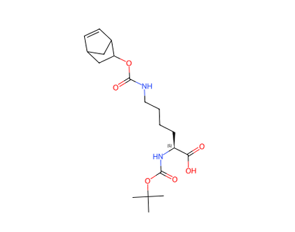 CC(C)(C)OC(=O)N[C@@H](CCCCNC(=O)OC1CC2C=CC1C2)C(=O)O